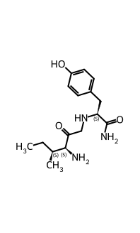 CC[C@H](C)[C@H](N)C(=O)CN[C@@H](Cc1ccc(O)cc1)C(N)=O